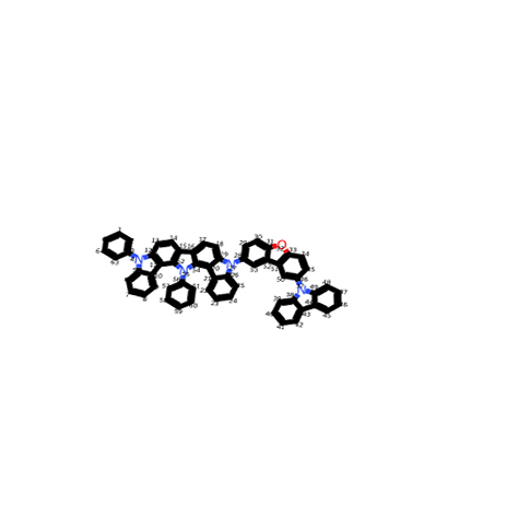 c1ccc(-n2c3ccccc3c3c2ccc2c4ccc5c(c6ccccc6n5-c5ccc6oc7ccc(-n8c9ccccc9c9ccccc98)cc7c6c5)c4n(-c4ccccc4)c23)cc1